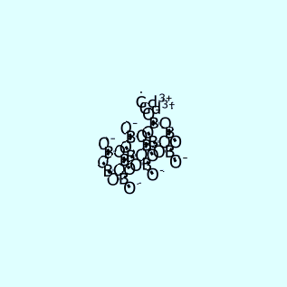 [Gd+3].[Gd+3].[O-]B1OB2OB([O-])OB(O1)O2.[O-]B1OB2OB([O-])OB(O1)O2.[O-]B1OB2OB([O-])OB(O1)O2